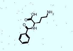 NCCC[C@@H](NC(=O)c1ccccc1)C(=O)O